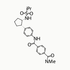 CNC(=O)c1ccc(C(=O)Nc2ccc([C@@H]3CCC[C@@H]3NS(=O)(=O)C(C)C)cc2)cc1